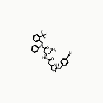 N#Cc1ccc(Cc2ncc(CC(=O)N[C@H](CN)CC(=S)N(Cc3ccccc3C(F)(F)F)c3ccccc3)[nH]2)cc1